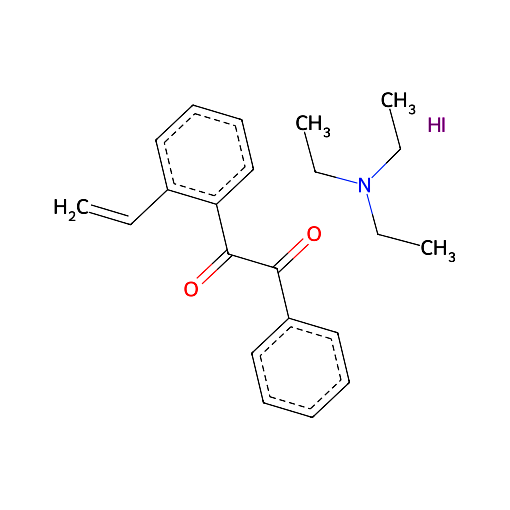 C=Cc1ccccc1C(=O)C(=O)c1ccccc1.CCN(CC)CC.I